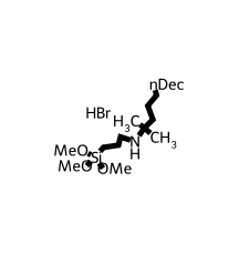 Br.CCCCCCCCCCCCCC(C)(C)NCCC[Si](OC)(OC)OC